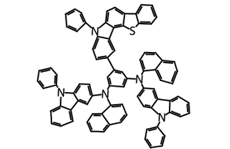 c1ccc(-n2c3ccccc3c3cc(N(c4cc(-c5ccc6c(c5)c5c7sc8ccccc8c7ccc5n6-c5ccccc5)cc(N(c5ccc6c(c5)c5ccccc5n6-c5ccccc5)c5cccc6ccccc56)c4)c4cccc5ccccc45)ccc32)cc1